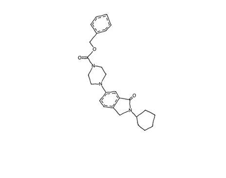 O=C(OCc1ccccc1)N1CCN(c2ccc3c(c2)C(=O)N(C2CCCCC2)C3)CC1